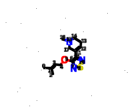 CC(C)=CCOc1nsnc1C1=CCCN(C)C1